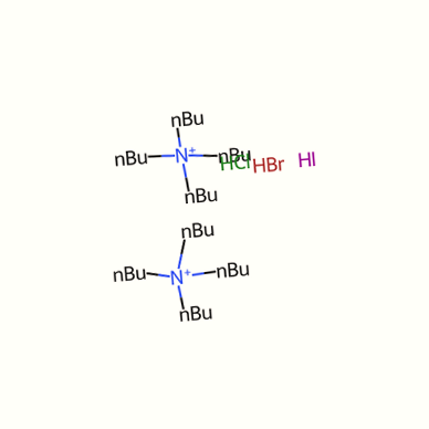 Br.CCCC[N+](CCCC)(CCCC)CCCC.CCCC[N+](CCCC)(CCCC)CCCC.Cl.I